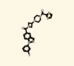 O=C(c1ccc2c(cnn2-c2cccc(F)c2)c1)N1CC(N2CCN(C(=O)c3nccs3)CC2)C1